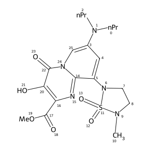 CCCN(CCC)c1cc(N2CCN(C)S2(=O)=O)c2nc(C(=O)OC)c(O)c(=O)n2c1